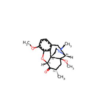 COc1ccc2c3c1O[C@H]1C(=O)[C@@H](C)CC4(OC)[C@@H](C2)N(C)CC[C@]314